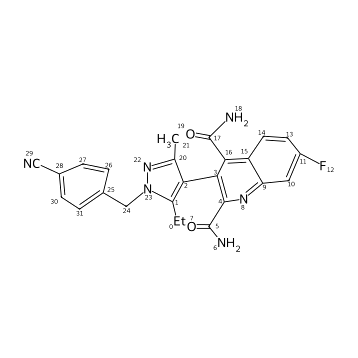 CCc1c(-c2c(C(N)=O)nc3cc(F)ccc3c2C(N)=O)c(C)nn1Cc1ccc(C#N)cc1